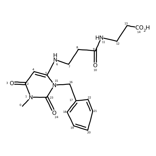 Cn1c(=O)cc(NCCC(=O)NCCC(=O)O)n(Cc2ccccc2)c1=O